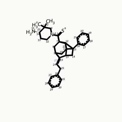 CC1(C)CN(C(=S)C23CC4CC5(C2)C(CC5(c2ccccc2)C3)/C4=C\Cc2ccccc2)CC[C@@H]1N